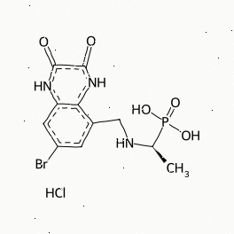 C[C@@H](NCc1cc(Br)cc2[nH]c(=O)c(=O)[nH]c12)P(=O)(O)O.Cl